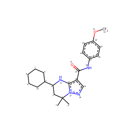 CC1(C)CC(C2CCCCC2)Nc2c(C(=O)Nc3ccc(OC(F)(F)F)cc3)cnn21